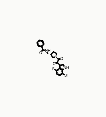 O=C(NC[C@@H]1CCN(C(=O)C(=O)c2c[nH]c3c(Br)ccc(F)c23)C1)c1ccccc1